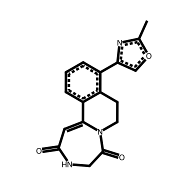 Cc1nc(-c2cccc3c2CCN2C(=O)CNC(=O)C=C32)co1